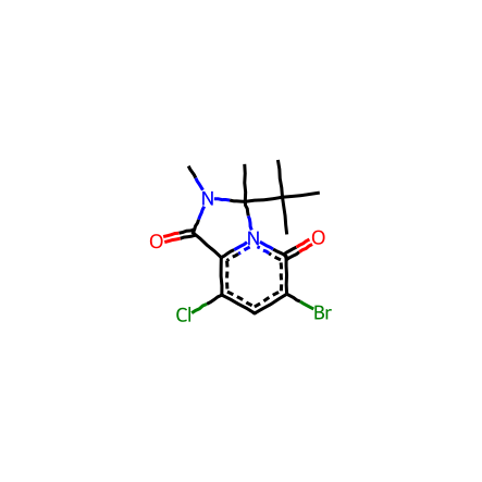 CN1C(=O)c2c(Cl)cc(Br)c(=O)n2C1(C)C(C)(C)C